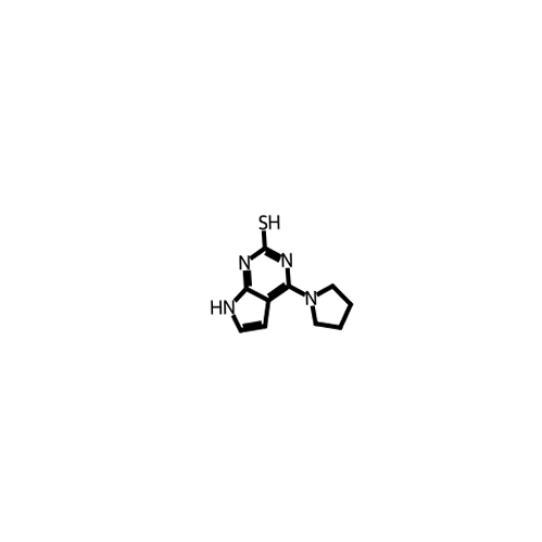 Sc1nc(N2CCCC2)c2cc[nH]c2n1